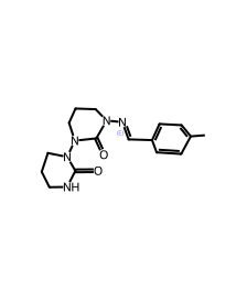 Cc1ccc(/C=N/N2CCCN(N3CCCNC3=O)C2=O)cc1